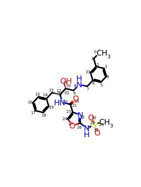 CCc1cccc(CNC[C@H](O)[C@H](Cc2ccccc2)NC(=O)c2coc(NS(C)(=O)=O)n2)c1